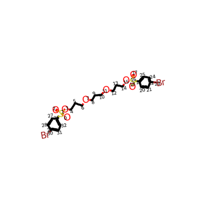 O=S(=O)(OCCCOCCCOCCCOS(=O)(=O)c1ccc(Br)cc1)c1ccc(Br)cc1